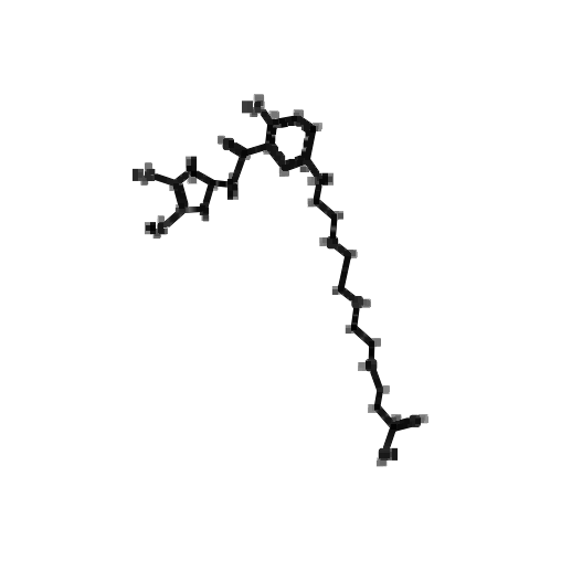 CC1=C(C)SC(NC(=O)c2cc(NCCOCCOCCOCCC(=O)O)ccc2C)N1